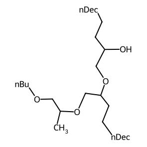 CCCCCCCCCCCCC(O)COC(CCCCCCCCCCCC)COC(C)COCCCC